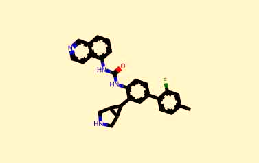 Cc1ccc(-c2ccc(NC(=O)Nc3cccc4cnccc34)c(C3C4CNCC43)c2)c(F)c1